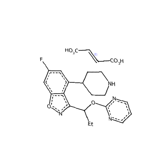 CCC(Oc1ncccn1)c1noc2cc(F)cc(C3CCNCC3)c12.O=C(O)/C=C/C(=O)O